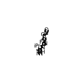 Cc1c(-c2[nH]c3cnc(N4CCN(C(=O)CN5CCOCC5)C[C@H]4C)c(F)c3c2C(C)C)cn2ncnc2c1C